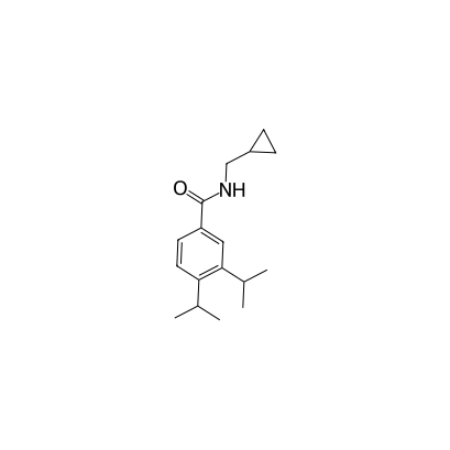 CC(C)c1ccc(C(=O)NCC2CC2)cc1C(C)C